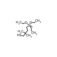 CCO[Si](CCC(C)(C)CS)(OCC)OCC